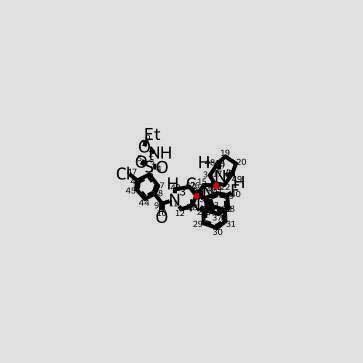 CCONS(=O)(=O)c1cc(C(=O)N2CCC(CCN3[C@@H]4CC[C@H]3C[C@@H](n3c(C)nc5ccccc53)C4)(c3cccc(F)c3)CC2)ccc1Cl